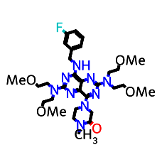 COCCN(CCOC)c1nc(N2CCN(C)C(=O)C2)c2nc(N(CCOC)CCOC)nc(NCc3cccc(F)c3)c2n1